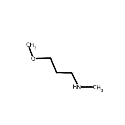 CN[CH]CCOC